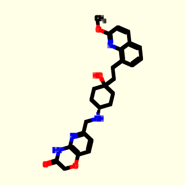 COc1ccc2cccc(CC[C@]3(O)CC[C@H](NCc4ccc5c(n4)NC(=O)CO5)CC3)c2n1